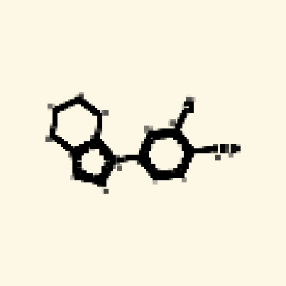 O=C(O)c1ccc(-n2ncc3c2CCCC3)cc1Cl